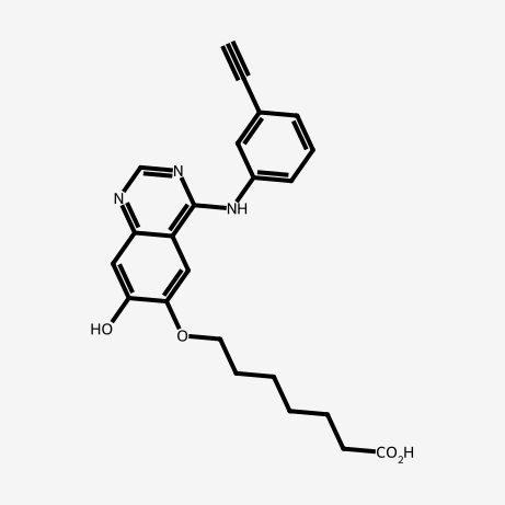 C#Cc1cccc(Nc2ncnc3cc(O)c(OCCCCCCC(=O)O)cc23)c1